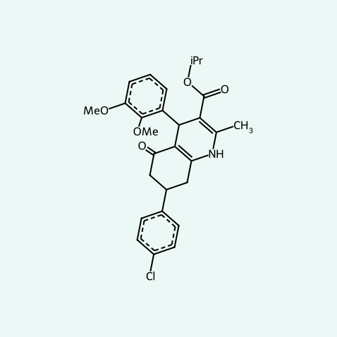 COc1cccc(C2C(C(=O)OC(C)C)=C(C)NC3=C2C(=O)CC(c2ccc(Cl)cc2)C3)c1OC